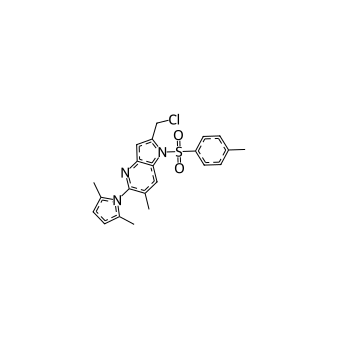 Cc1ccc(S(=O)(=O)n2c(CCl)cc3nc(-n4c(C)ccc4C)c(C)cc32)cc1